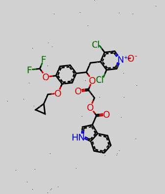 O=C(COC(=O)c1c[nH]c2ccccc12)OC(Cc1c(Cl)c[n+]([O-])cc1Cl)c1ccc(OC(F)F)c(OCC2CC2)c1